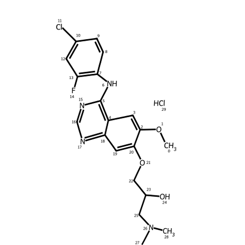 COc1cc2c(Nc3ccc(Cl)cc3F)ncnc2cc1OCC(O)CN(C)C.Cl